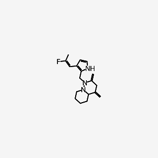 C=C1CC(=C)N(Cc2[nH]ccc2/C=C(\C)F)N2CCCCC12